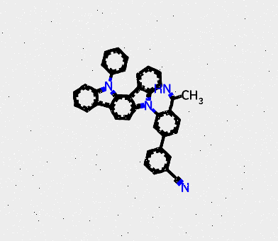 CC(=N)c1ccc(-c2cccc(C#N)c2)cc1-n1c2ccccc2c2c1ccc1c3ccccc3n(-c3ccccc3)c12